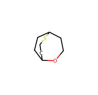 C1CC2CCC(CCS2)O1